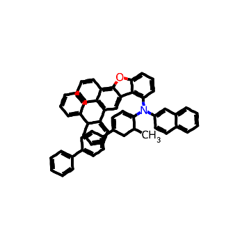 CC1CC(c2ccc(-c3ccccc3)cc2)=CC=C1N(c1ccc2ccccc2c1)c1cccc2oc3c4ccccc4c(C4=CC=CCC4c4ccccc4)cc3c12